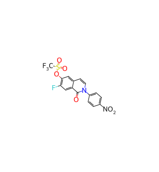 O=c1c2cc(F)c(OS(=O)(=O)C(F)(F)F)cc2ccn1-c1ccc([N+](=O)[O-])cc1